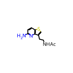 CC(=O)NCCc1csc2ccc(N)nc12